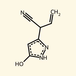 C=CC(C#N)c1cc(O)[nH]n1